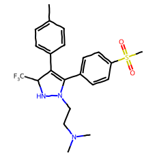 Cc1ccc(C2=C(c3ccc(S(C)(=O)=O)cc3)N(CCN(C)C)NC2C(F)(F)F)cc1